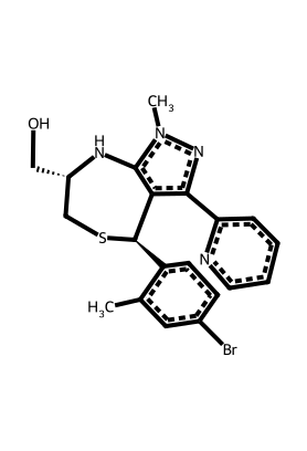 Cc1cc(Br)ccc1[C@H]1SC[C@H](CO)Nc2c1c(-c1ccccn1)nn2C